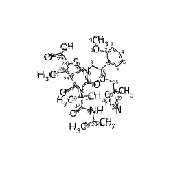 COc1ccccc1[C@H](Cn1c(=O)n(C(C)(C)C(=O)NC(C)C)c(=O)c2c(C)c(C(=O)O)sc21)OCC(C)(C)C#N